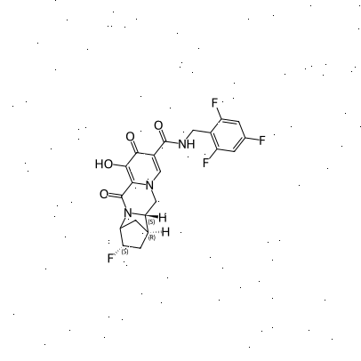 O=C(NCc1c(F)cc(F)cc1F)c1cn2c(c(O)c1=O)C(=O)N1C3C[C@H](C[C@@H]3F)[C@H]1C2